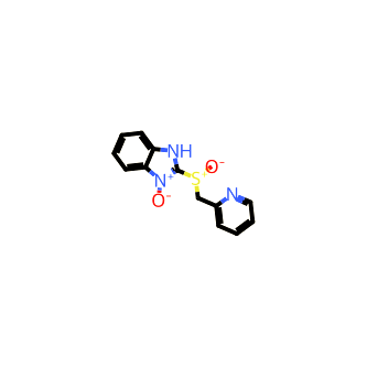 [O-][n+]1c([S+]([O-])Cc2ccccn2)[nH]c2ccccc21